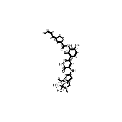 BC(O)(O)N(C)Cc1cc(Nc2cc(-c3ccc(F)c(NC(=O)C4=C/C(=C/C=C\C)CS4)c3C)n[nH]c2=O)nn1CC